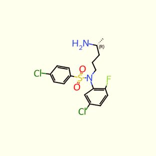 C[C@@H](N)CCCN(c1cc(Cl)ccc1F)S(=O)(=O)c1ccc(Cl)cc1